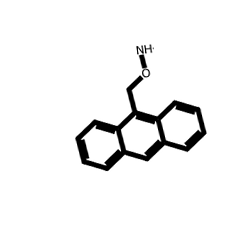 [NH]OCc1c2ccccc2cc2ccccc12